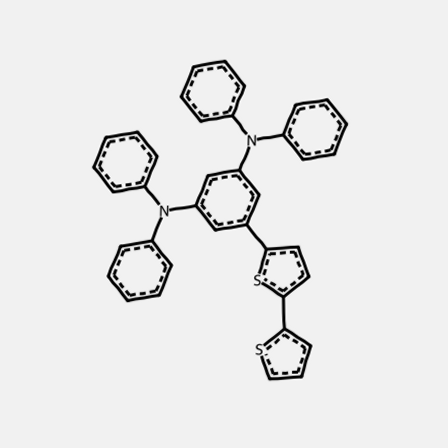 c1ccc(N(c2ccccc2)c2cc(-c3ccc(-c4cccs4)s3)cc(N(c3ccccc3)c3ccccc3)c2)cc1